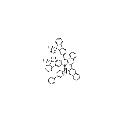 CC1(C)c2ccccc2-c2ccc(N3c4cc5c(cc4Bc4c(-c6cc7ccccc7cc6Nc6ccc(-c7ccccc7)cc6)cc6ccccc6c43)-c3ccccc3C5(C)C)cc21